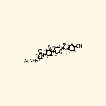 CC(=O)NC[C@H]1CN(c2ccc(N3CCN(C(=S)Nc4ccc(C#N)cc4)CC3)c(F)c2)C(=O)O1